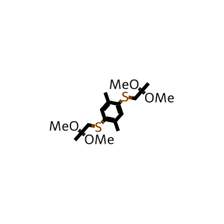 COC(C)(CSc1cc(C)c(SCC(C)(OC)OC)cc1C)OC